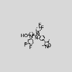 Cc1noc(C)c1-c1ccc2c(c1)nc([C@@H]1CCC(O)N1c1ccc(F)c(F)c1)n2[C@@H]1CCC(F)(F)C1